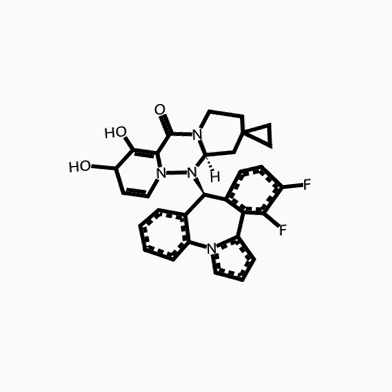 O=C1C2=C(O)C(O)C=CN2N([C@@H]2c3ccccc3-n3cccc3-c3c2ccc(F)c3F)[C@@H]2CC3(CCN12)CC3